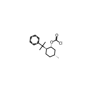 C[C@@H]1CC[C@@H](C(C)(C)c2ccccc2)[C@H](OC(=O)Cl)C1